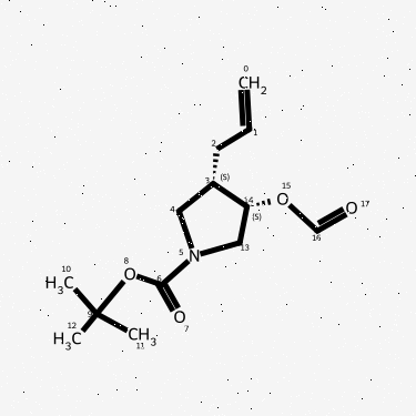 C=CC[C@H]1CN(C(=O)OC(C)(C)C)C[C@H]1OC=O